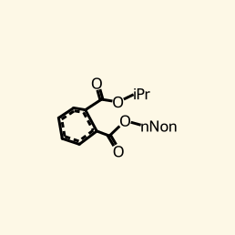 CCCCCCCCCOC(=O)c1ccccc1C(=O)OC(C)C